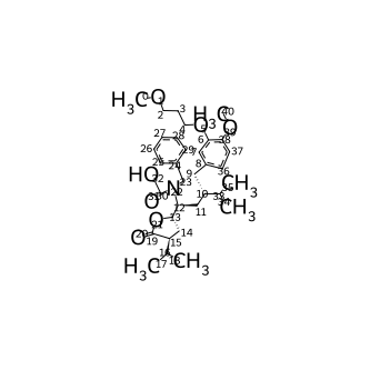 COCCCOc1cc(C[C@@H](C[C@@H]([C@@H]2C[C@@H](C(C)C)C(=O)O2)N(Cc2ccccc2)C(=O)O)C(C)C)ccc1OC